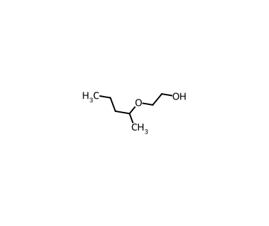 CCCC(C)OCCO